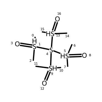 C[SH](C)(=O)S([SH](C)(C)=O)([SH](C)(C)=O)[SH](C)(C)=O